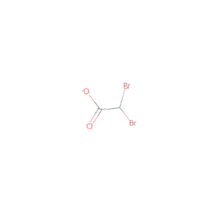 [O]C(=O)C(Br)Br